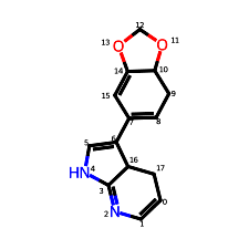 C1=CN=C2NC=C(C3=CCC4OCOC4=C3)C2C1